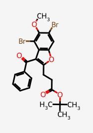 COc1c(Br)cc2oc(CCC(=O)OC(C)(C)C)c(C(=O)c3ccccc3)c2c1Br